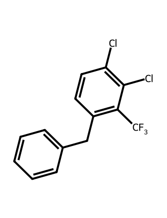 FC(F)(F)c1c(Cc2ccccc2)ccc(Cl)c1Cl